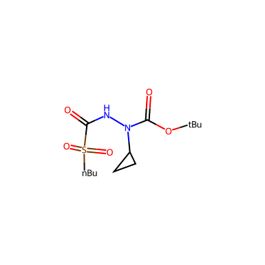 CCCCS(=O)(=O)C(=O)NN(C(=O)OC(C)(C)C)C1CC1